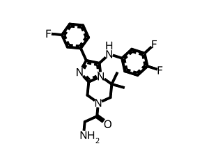 CC1(C)CN(C(=O)CN)Cc2nc(-c3cccc(F)c3)c(Nc3ccc(F)c(F)c3)n21